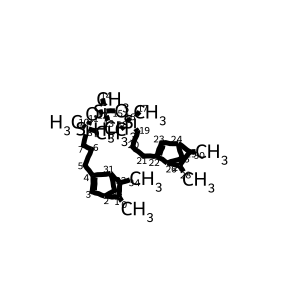 CC1C2C=C(CCC[Si](C)(C)O[Si](C)(C)O[Si](C)(C)CCCC3=CC4CC3C(C)C4C)C(C2)C1C